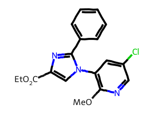 CCOC(=O)c1cn(-c2cc(Cl)cnc2OC)c(-c2ccccc2)n1